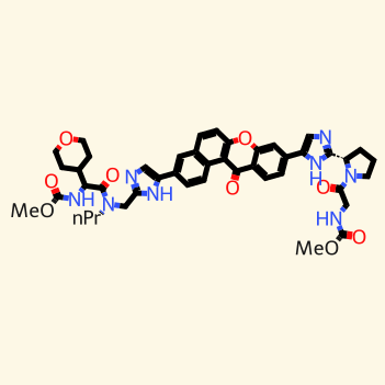 CCCN(Cc1ncc(-c2ccc3c(ccc4oc5cc(-c6cnc([C@@H]7CCCN7C(=O)CNC(=O)OC)[nH]6)ccc5c(=O)c43)c2)[nH]1)C(=O)C(NC(=O)OC)C1CCOCC1